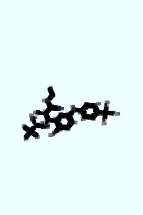 CCOC(=O)[C@H](F)[C@@H](N[S@+]([O-])C(C)(C)C)c1cc(Oc2ccc(C(F)(F)F)nc2)ccc1F